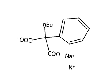 CCCCC(C(=O)[O-])(C(=O)[O-])c1ccccc1.[K+].[Na+]